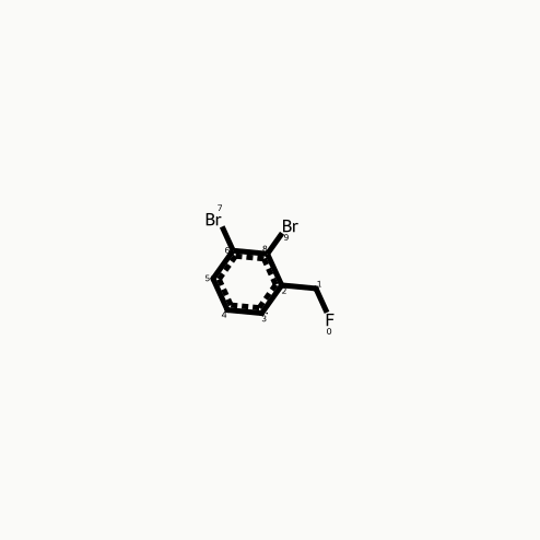 FCc1[c]ccc(Br)c1Br